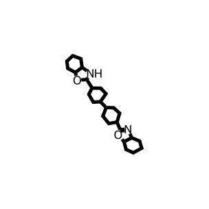 C1CCC2OC(C3CCC(C4CCC(C5NC6CCCCC6O5)CC4)CC3)=NC2C1